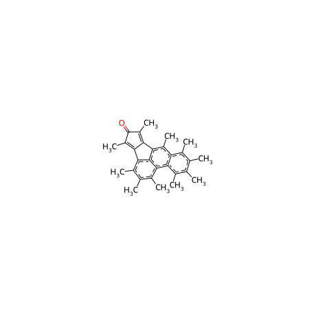 CC1=C2C(=C(C)C1=O)c1c(C)c3c(C)c(C)c(C)c(C)c3c3c(C)c(C)c(C)c2c13